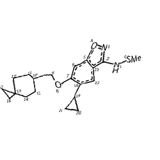 CSNc1noc2cc(OCC3CCC4(CC3)CC4)c(C3CC3)cc12